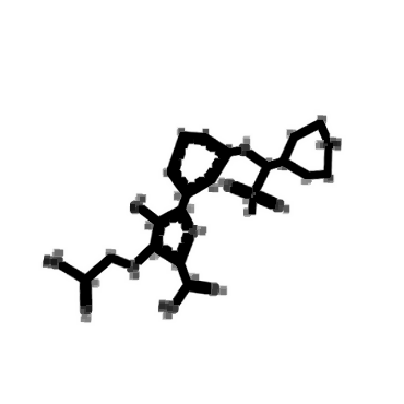 CS(=O)(=O)C(Oc1cccc(-c2sc(C(=O)O)c(OCC(=O)O)c2Cl)c1)C1CCNCC1